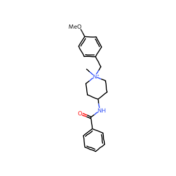 COc1ccc(C[N+]2(C)CCC(NC(=O)c3ccccc3)CC2)cc1